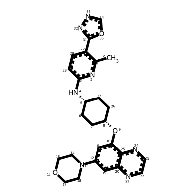 Cc1nc(N[C@H]2CC[C@@H](Oc3cc(N4CCOCC4)cc4nccnc34)CC2)ccc1-c1nnco1